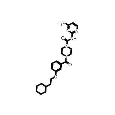 Cc1ccnc(NC(=O)N2CCN(C(=O)c3cccc(OCCC4CCCCC4)c3)CC2)n1